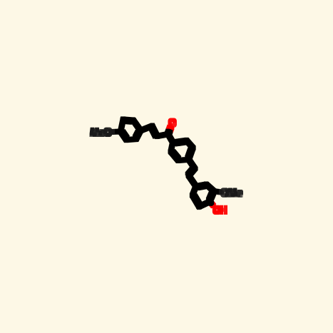 COc1ccc(C=CC(=O)c2ccc(C=Cc3ccc(O)c(OC)c3)cc2)cc1